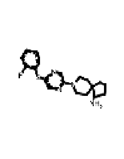 N[C@@H]1CCCC12CCN(c1cnc(Sc3ccccc3F)cn1)CC2